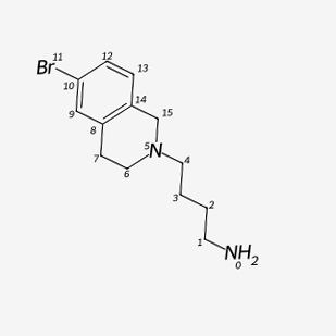 NCCCCN1CCc2cc(Br)ccc2C1